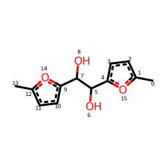 Cc1ccc(C(O)C(O)c2ccc(C)o2)o1